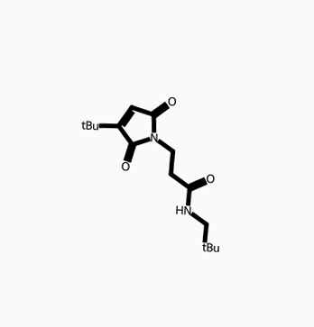 CC(C)(C)CNC(=O)CCN1C(=O)C=C(C(C)(C)C)C1=O